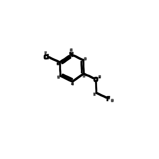 FCOc1ccc(Cl)nc1